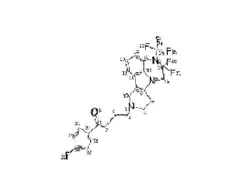 O=C(CCCN1CCC2C(C1)c1cccc3c1N2CC(F)(F)N3C(F)(F)F)c1ccc(F)cc1